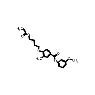 C=CC(=O)OCCCCOc1ccc(C(=O)Oc2cc[c]c(OC)c2)cc1C